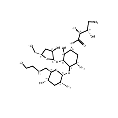 NC[C@H](O)[C@H](O)C(=O)N[C@@H]1C[C@H](N)[C@@H](O[C@H]2O[C@H](CNCCO)[C@@H](O)C[C@H]2N)[C@H](O[C@@H]2O[C@H](CO)C[C@H]2O)[C@H]1O